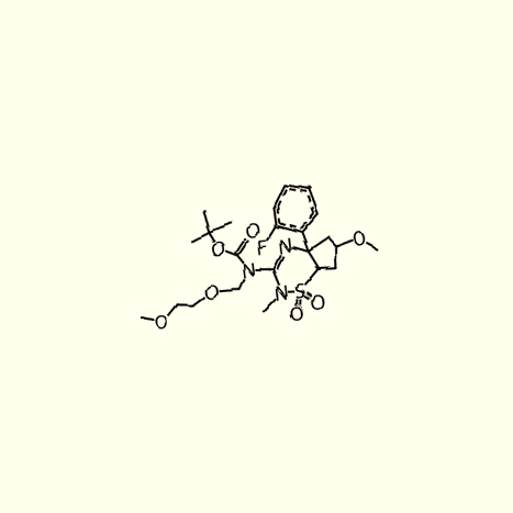 COCCOCN(C(=O)OC(C)(C)C)C1=NC2(c3ccccc3F)CC(OC)CC2S(=O)(=O)N1C